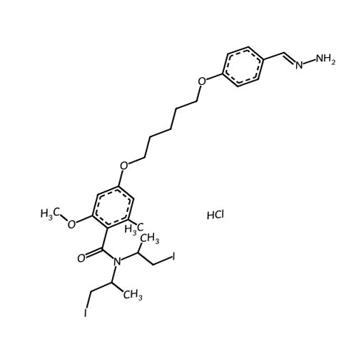 COc1cc(OCCCCCOc2ccc(C=NN)cc2)cc(C)c1C(=O)N(C(C)CI)C(C)CI.Cl